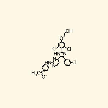 C[S+]([O-])c1ccc(Nc2nccc(-c3[nH]c(-c4c(Cl)cc(OCCO)cc4Cl)nc3-c3cccc(Cl)c3)n2)cc1